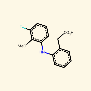 COc1c(F)cccc1Nc1ccccc1CC(=O)O